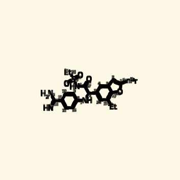 CCCc1cc2cc([C@@H](Nc3ccc(C(=N)N)cc3)C(=O)NS(=O)(=O)CC)cc(CC)c2o1